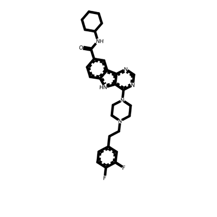 O=C(NC1CCCCC1)c1ccc2[nH]c3c(N4CCN(CCc5ccc(F)c(F)c5)CC4)ncnc3c2c1